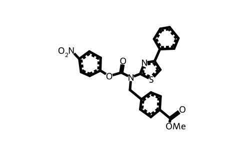 COC(=O)c1ccc(CN(C(=O)Oc2ccc([N+](=O)[O-])cc2)c2nc(-c3ccccc3)cs2)cc1